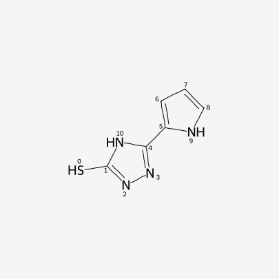 Sc1nnc(-c2ccc[nH]2)[nH]1